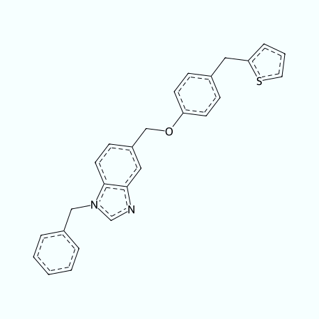 c1ccc(Cn2cnc3cc(COc4ccc(Cc5cccs5)cc4)ccc32)cc1